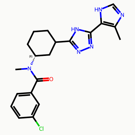 Cc1nc[nH]c1-c1nnc(C2CCC[C@@H](N(C)C(=O)c3cccc(Cl)c3)C2)[nH]1